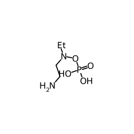 CCN(CCN)OP(=O)(O)O